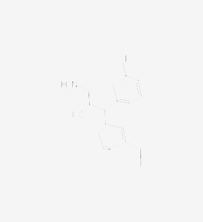 CC(CN)C(c1cccc(Cl)c1)c1cccc(CI)c1